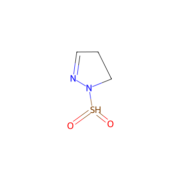 O=[SH](=O)N1CCC=N1